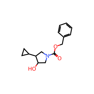 O=C(OCc1ccccc1)N1CC(O)C(C2CC2)C1